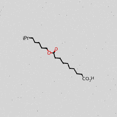 CC(C)CCCCCOC(=O)CCCCCCCCC(=O)O